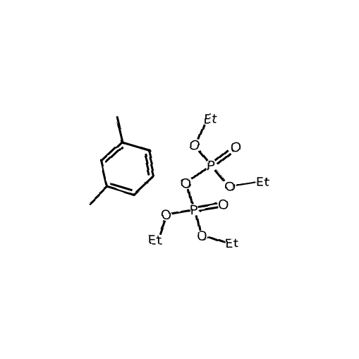 CCOP(=O)(OCC)OP(=O)(OCC)OCC.Cc1cccc(C)c1